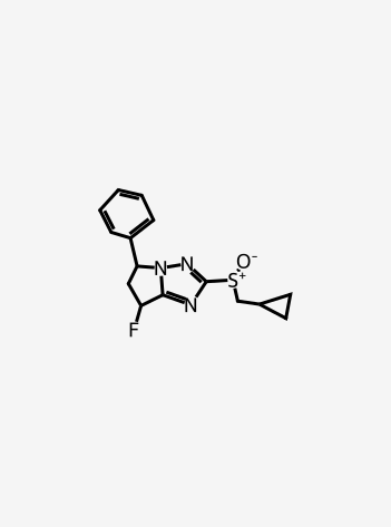 [O-][S@+](CC1CC1)c1nc2n(n1)C(c1ccccc1)CC2F